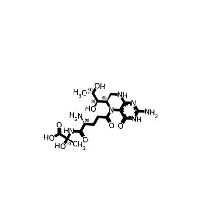 C[C@H](O)[C@H](O)[C@H]1CNc2nc(N)[nH]c(=O)c2N1C(=O)CC[C@@H](N)C(=O)N[C@](C)(O)C(=O)O